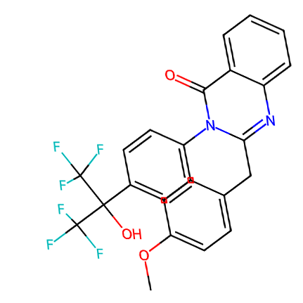 COc1ccc(Cc2nc3ccccc3c(=O)n2-c2ccc(C(O)(C(F)(F)F)C(F)(F)F)cc2)cc1